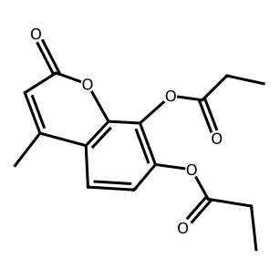 CCC(=O)Oc1ccc2c(C)cc(=O)oc2c1OC(=O)CC